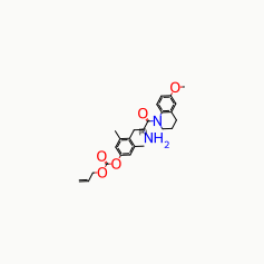 C=CCOC(=O)Oc1cc(C)c(C[C@@H](N)C(=O)N2CCCc3cc(OC)ccc32)c(C)c1